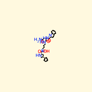 NC(=O)C[C@H](NC(=O)c1ccc2ccccc2n1)C(=O)NCCCCN(O)C(=O)[C@@H]1C[C@@H](c2ccccc2)CN1